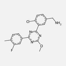 COc1nc(-c2ccc(C)c(F)c2)nc(-c2cc(CN)ccc2Cl)n1